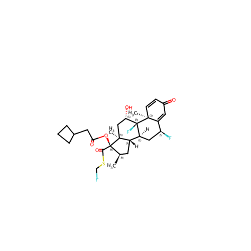 C[C@@H]1C[C@H]2[C@@H]3C[C@H](F)C4=CC(=O)C=C[C@]4(C)[C@@]3(F)[C@@H](O)C[C@]2(C)[C@@]1(OC(=O)CC1CCC1)C(=O)SCF